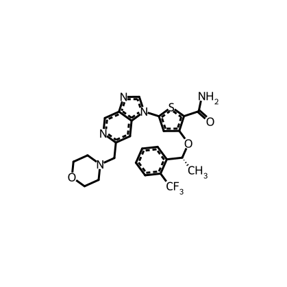 C[C@@H](Oc1cc(-n2cnc3cnc(CN4CCOCC4)cc32)sc1C(N)=O)c1ccccc1C(F)(F)F